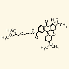 COCC(COCCCNC(=O)c1ccc(C(=O)O)c(-c2c3ccc(=[N+](C)C)cc-3oc3cc(N(C)C)ccc23)c1)OC